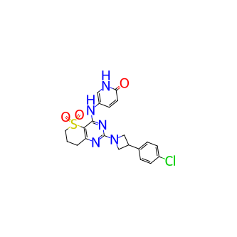 O=c1ccc(Nc2nc(N3CC(c4ccc(Cl)cc4)C3)nc3c2S(=O)(=O)CCC3)c[nH]1